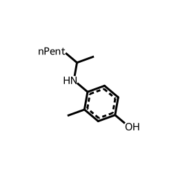 CCCCCC(C)Nc1ccc(O)cc1C